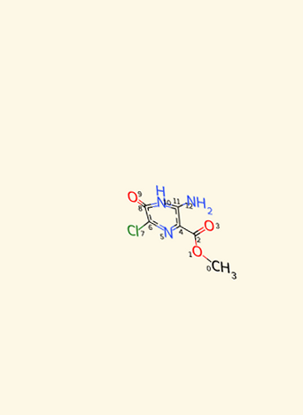 COC(=O)c1nc(Cl)c(=O)[nH]c1N